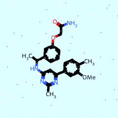 COc1cc(-c2cc(NC(C)c3cccc(OCC(N)=O)c3)nc(C)n2)ccc1C